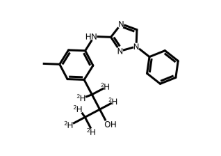 [2H]C([2H])([2H])C([2H])(O)C([2H])([2H])c1cc(C)cc(Nc2ncn(-c3ccccc3)n2)c1